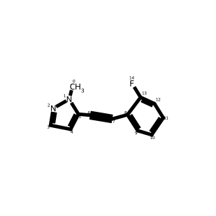 Cn1nccc1C#Cc1ccccc1F